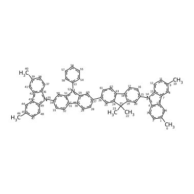 Cc1ccc2c(c1)c1cc(C)ccc1n2-c1ccc2c(c1)C(C)(C)c1cc(-c3ccc4c5ccc(-n6c7ccc(C)cc7c7cc(C)ccc76)cc5n(-c5ccccc5)c4c3)ccc1-2